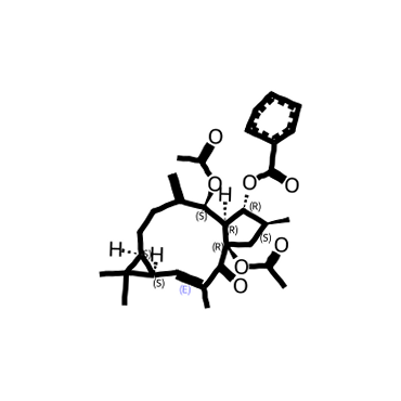 C=C1CC[C@H]2[C@@H](/C=C(\C)C(=O)[C@@]3(OC(C)=O)C[C@H](C)[C@@H](OC(=O)c4ccccc4)[C@@H]3[C@@H]1OC(C)=O)C2(C)C